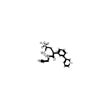 CC(CC(C(=O)NCC#N)c1cccc(-c2cccnc2)c1)S(C)(=O)=O